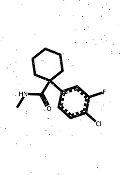 CNC(=O)C1(c2ccc(Cl)c(F)c2)CCCCC1